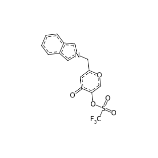 O=c1cc(Cn2cc3ccccc3c2)occ1OS(=O)(=O)C(F)(F)F